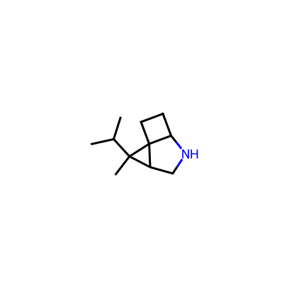 CC(C)C1(C)C2CNC3CCC321